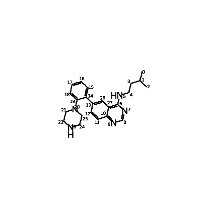 CC(C)CCNc1ncnc2ccc(-c3ccccc3N3CCNCC3)cc12